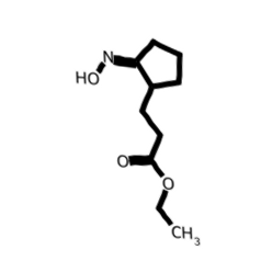 CCOC(=O)CCC1CCC/C1=N/O